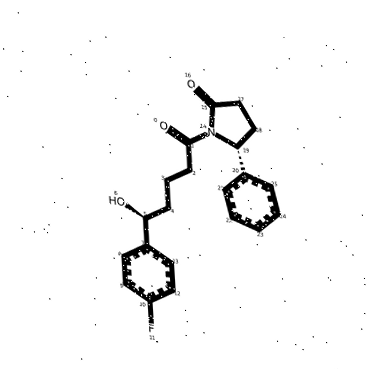 O=C(CCC[C@H](O)c1ccc(F)cc1)N1C(=O)CC[C@@H]1c1ccccc1